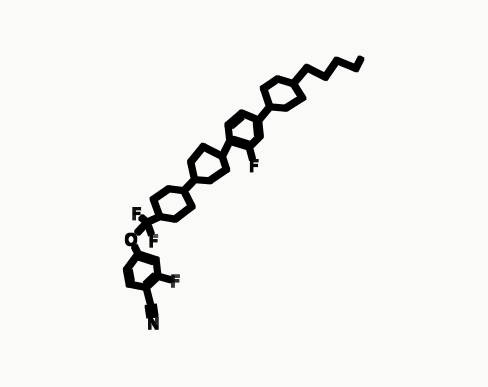 CCCCCC1CCC(c2ccc(C3CCC(C4CCC(C(F)(F)Oc5ccc(C#N)c(F)c5)CC4)CC3)c(F)c2)CC1